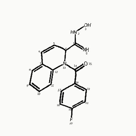 N=C(NO)C1C=Cc2ccccc2N1C(=O)c1ccc(F)cc1